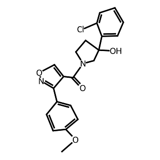 COc1ccc(-c2nocc2C(=O)N2CCC(O)(c3ccccc3Cl)C2)cc1